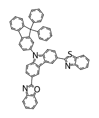 c1ccc(C2(c3ccccc3)c3ccccc3-c3ccc(-n4c5ccc(-c6nc7ccccc7o6)cc5c5cc(-c6nc7ccccc7s6)ccc54)cc32)cc1